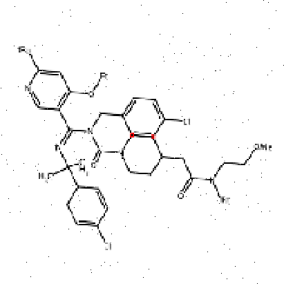 CCOc1cc(C(C)(C)C)ncc1/C(=N/C(C)(C)C1C=CC(Cl)=CC1)N(Cc1ccc(Cl)cc1)C(=O)N1CCC(CC(=O)N(CCOC)C(C)C)CC1